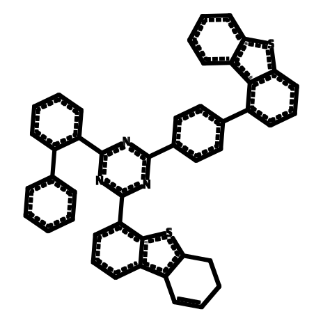 C1=Cc2c(sc3c(-c4nc(-c5ccc(-c6cccc7sc8ccccc8c67)cc5)nc(-c5ccccc5-c5ccccc5)n4)cccc23)CC1